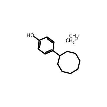 Oc1ccc(C2[CH]CCCCCC2)cc1.[CH2].[CH2]